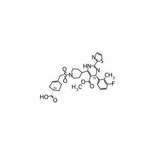 COC(=O)C1=C(C2CCN(S(=O)(=O)CC3=CC[C@@H](C(=O)O)CC3)CC2)NC(c2nccs2)=N[C@H]1c1cccc(F)c1C